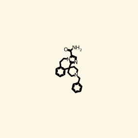 NC(=O)c1cnc2n1CCc1ccccc1C21CCN(Cc2ccccc2)CC1